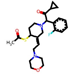 CC(=O)SC1CCN(C(C(=O)C2CC2)c2ccccc2F)C/C1=C/CN1CCOCC1